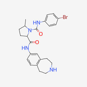 CC1CCC(C(=O)Nc2ccc3c(c2)CCNCC3)N1C(=O)Nc1ccc(Br)cc1